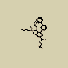 CCCC[S+]([O-])N1Cc2cc(C(=O)NCC(F)(F)F)nc(-c3cccc(-c4cccnc4)c3)c2[C@H]1CCO